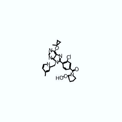 Cc1ccnc(Cn2c(-c3ccc(C(=O)N4CCC[C@@H]4CO)cc3Cl)nc3c(OC4(C)CC4)ncnc32)c1